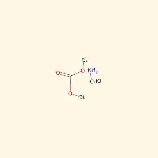 CCOC(=O)OCC.NC=O